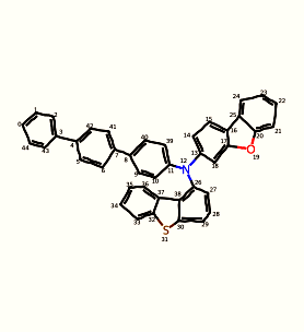 c1ccc(-c2ccc(-c3ccc(N(c4ccc5c(c4)oc4ccccc45)c4cccc5sc6ccccc6c45)cc3)cc2)cc1